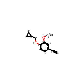 C#Cc1ccc(OCC2CC2)c(OCCCC)c1